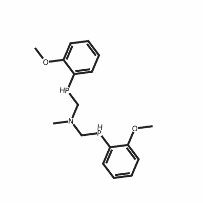 COc1ccccc1PCN(C)CPc1ccccc1OC